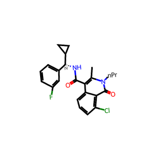 CCCn1c(C)c(C(=O)N[C@H](c2cccc(F)c2)C2CC2)c2cccc(Cl)c2c1=O